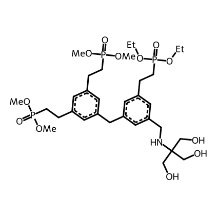 CCOP(=O)(CCc1cc(CNC(CO)(CO)CO)cc(Cc2cc(CCP(=O)(OC)OC)cc(CCP(=O)(OC)OC)c2)c1)OCC